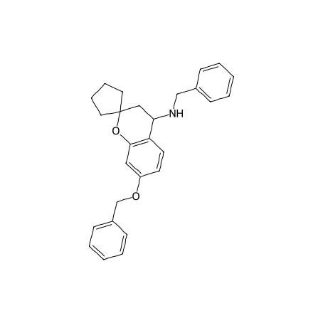 c1ccc(CNC2CC3(CCCC3)Oc3cc(OCc4ccccc4)ccc32)cc1